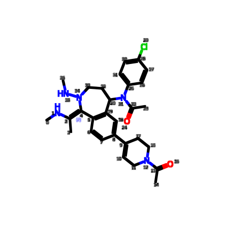 CN/C(C)=C1/c2ccc(C3=CCN(C(C)=O)CC3)cc2C(N(C(C)=O)c2ccc(Cl)cc2)CCN1NC